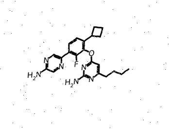 CCCCc1cc(Oc2c(C3CCC3)ccc(-c3cnc(N)cn3)c2F)nc(N)n1